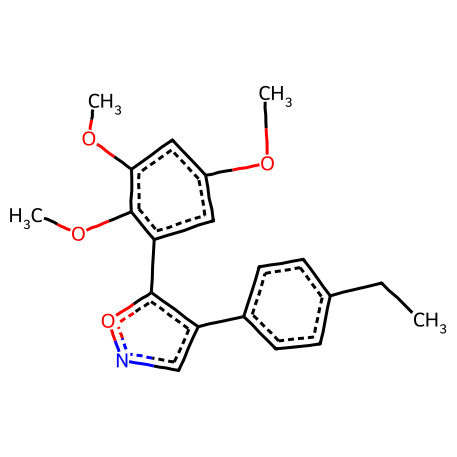 CCc1ccc(-c2cnoc2-c2cc(OC)cc(OC)c2OC)cc1